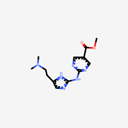 COC(=O)c1cnc(Nc2ncc(CCN(C)C)[nH]2)nc1